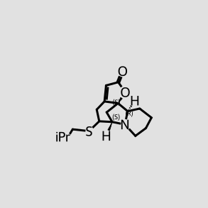 CC(C)CSC1CC2=CC(=O)O[C@@]23C[C@@H]1N1CCCC[C@@H]13